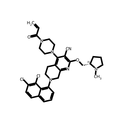 C=CC(=O)N1CCN(c2c(C#N)c(OC[C@@H]3CCCN3C)nc3c2CCN(c2cccc4ccc(Cl)c(Cl)c24)C3)CC1